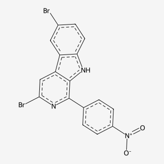 O=[N+]([O-])c1ccc(-c2nc(Br)cc3c2[nH]c2ccc(Br)cc23)cc1